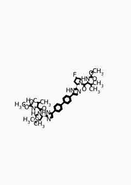 COC(=O)N[C@H](C(=O)N1C[C@H](F)C[C@H]1c1ncc(-c2ccc(-c3ccc(-c4cnc([C@@H]5C[Si](C)(C)CN5C(=O)[C@@H](NC(=O)OC)C(C)C)[nH]4)cc3)cc2)[nH]1)C(C)C